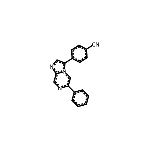 N#Cc1ccc(-c2cnc3cnc(-c4ccccc4)cn23)cc1